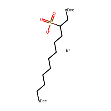 CCCCCCCCCCCCCCCCCCC(CCCCCCCCCCC)S(=O)(=O)[O-].[K+]